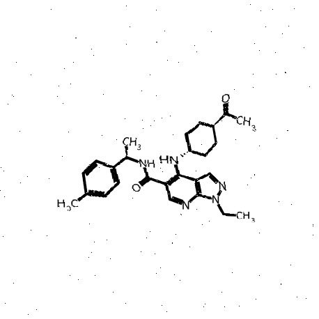 CCn1ncc2c(N[C@H]3CC[C@H](C(C)=O)CC3)c(C(=O)N[C@H](C)c3ccc(C)cc3)cnc21